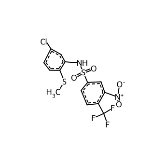 CSc1ccc(Cl)cc1NS(=O)(=O)c1ccc(C(F)(F)F)c([N+](=O)[O-])c1